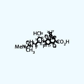 CN[C@@H](C)C(=O)NCC(F)=C1CCCN(c2c(F)cc3c(=O)c(C(=O)O)cn(C4CC4)c3c2OC)C1.Cl